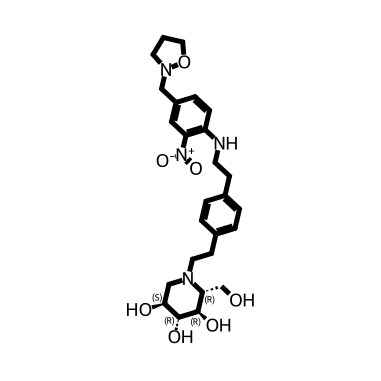 O=[N+]([O-])c1cc(CN2CCCO2)ccc1NCCc1ccc(CCN2C[C@H](O)[C@@H](O)[C@H](O)[C@H]2CO)cc1